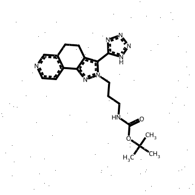 CC(C)(C)OC(=O)NCCCn1nc2c(c1-c1nnn[nH]1)CCc1cnccc1-2